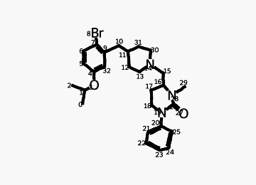 CC(C)Oc1ccc(Br)c(CC2CCN(CC3CCN(c4ccccc4)C(=O)N3C)CC2)c1